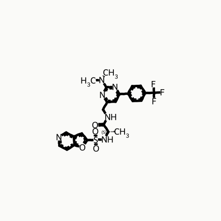 C[C@H](NS(=O)(=O)c1cc2cnccc2o1)C(=O)NCc1cc(-c2ccc(C(F)(F)F)cc2)nc(N(C)C)n1